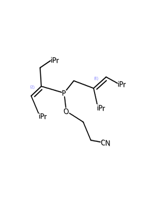 CC(C)/C=C(/CC(C)C)P(C/C(=C/C(C)C)C(C)C)OCCC#N